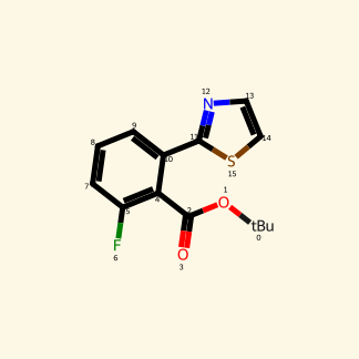 CC(C)(C)OC(=O)c1c(F)cccc1-c1nccs1